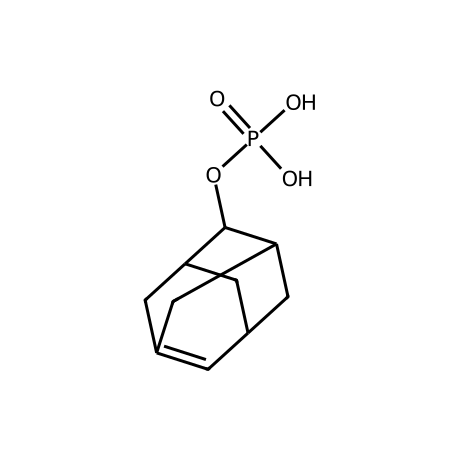 O=P(O)(O)OC1C2CC3=CC(C2)CC1C3